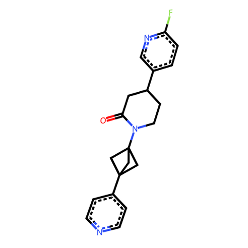 O=C1CC(c2ccc(F)nc2)CCN1C12CC(c3ccncc3)(C1)C2